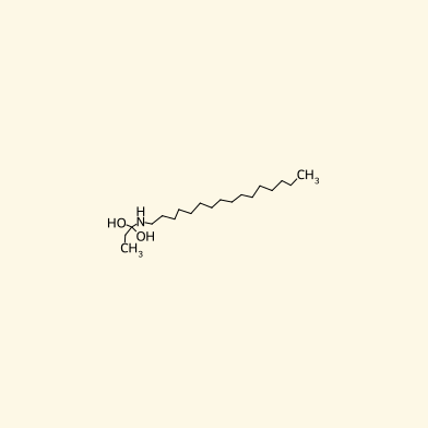 CCCCCCCCCCCCCCCCNC(O)(O)CC